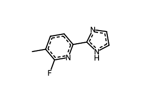 Cc1ccc(-c2ncc[nH]2)nc1F